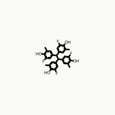 Cc1cc(C(c2cc(C)c(O)c(F)c2)C(c2cc(C)c(O)c(F)c2)c2cc(C)c(O)c(F)c2)cc(F)c1O